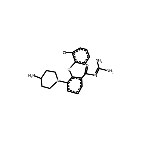 NC(N)=NC(=O)c1cccc(N2CCC(N)CC2)c1Oc1ccccc1Cl